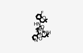 CC1(C)CC(=O)N([C@@H](c2cccnc2)[C@@H]2C[C@H]2C(=O)NC2CC(C)(C)Oc3c(F)cccc32)C(=N)N1